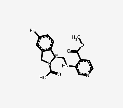 COC(=O)c1ccncc1NC[C@@H]1c2ccc(Br)cc2CN1C(=O)O